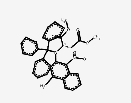 COC(=O)C[C@@H](C(=O)OC)N(c1cc(C)c2ccccc2c1[N+](=O)[O-])C(c1ccccc1)(c1ccccc1)c1ccccc1